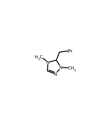 CC(C)CC1N(C)C=NN1C